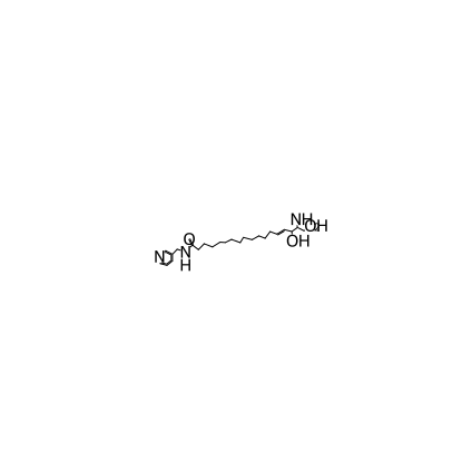 NC(CO)C(O)C=CCCCCCCCCCCCCC(=O)NCc1cccnc1